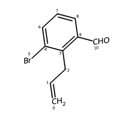 C=CCc1c(Br)cccc1C=O